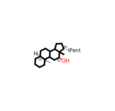 CCCC(C)[C@H]1CCC2C3CC[C@@H]4CCCC[C@]4(C)C3C[C@H](O)C21C